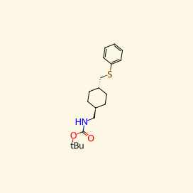 CC(C)(C)OC(=O)NC[C@H]1CC[C@H](CSc2ccccc2)CC1